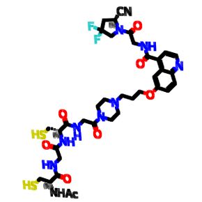 CC(=O)N[C@H](CS)C(=O)NCC(=O)N[C@H](CS)C(=O)NCC(=O)N1CCN(CCCOc2ccc3nccc(C(=O)NCC(=O)N4CC(F)(F)C[C@H]4C#N)c3c2)CC1